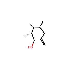 C=CC[C@H](C)[C@H](C)[C@@H](C)CO